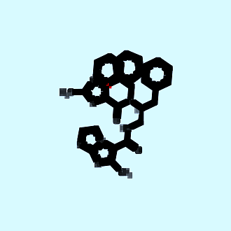 Cc1nc(C(=O)N(Cc2ccccc2)[C@H](CNC(=O)c2c(C)nc3sccn23)Cc2ccccc2)c(-c2ccccc2)s1